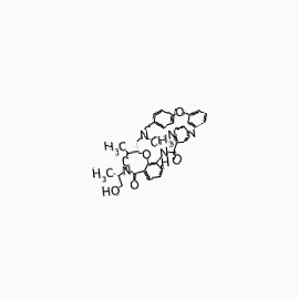 C[C@@H]1CN([C@@H](C)CO)C(=O)c2cccc(NC(=O)c3cnccn3)c2O[C@H]1CN(C)Cc1ccc(Oc2ccccc2)cc1